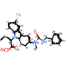 CCC(C(=O)O)n1c2c(c3cc(F)ccc31)CC(N(C)C(=O)NCc1ccccc1)CC2